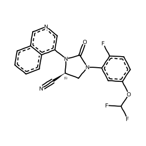 N#C[C@@H]1CN(c2cc(OC(F)F)ccc2F)C(=O)N1c1cncc2ccccc12